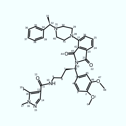 COc1ccc([C@@H](CCCNC(=O)c2cnn(C)c2I)N2C(=O)c3cccc(N4CCN([C@H](C)c5ccccc5)CC4)c3C2=O)cc1OC